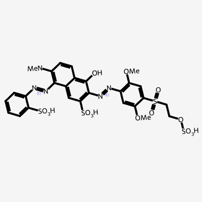 CNc1ccc2c(O)c(/N=N/c3cc(OC)c(S(=O)(=O)CCOS(=O)(=O)O)cc3OC)c(S(=O)(=O)O)cc2c1/N=N/c1ccccc1S(=O)(=O)O